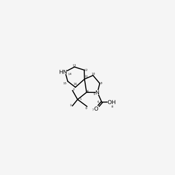 CC(C)(C)C1N(C(=O)O)CCC12CCNCC2